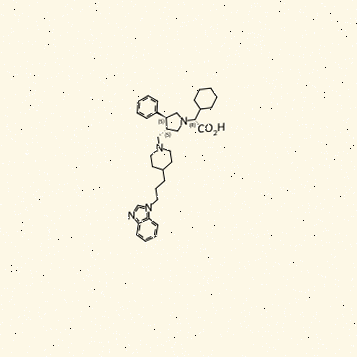 O=C(O)[C@@H](C1CCCCC1)N1C[C@H](CN2CCC(CCCn3cnc4ccccc43)CC2)[C@@H](c2ccccc2)C1